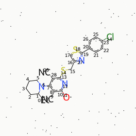 CCC1CCCCN1c1c(C#N)c([O])nc(SCc2csc(-c3ccc(Cl)cc3)n2)c1C#N